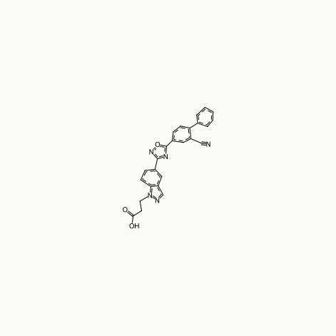 N#Cc1cc(-c2nc(-c3ccc4c(cnn4CCC(=O)O)c3)no2)ccc1-c1ccccc1